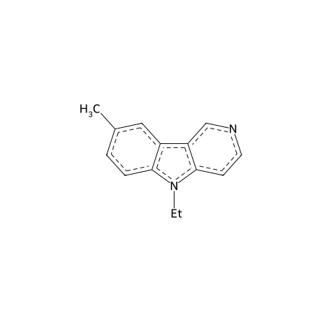 CCn1c2ccncc2c2cc(C)ccc21